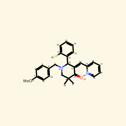 COc1ccc(CN2CC(C)(C)C(=O)C(=Cc3ccccn3)C2c2ccccc2F)cc1